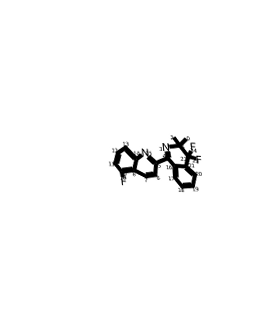 CC1(C)N=C(c2ccc3c(F)cccc3n2)c2ccccc2C1(F)F